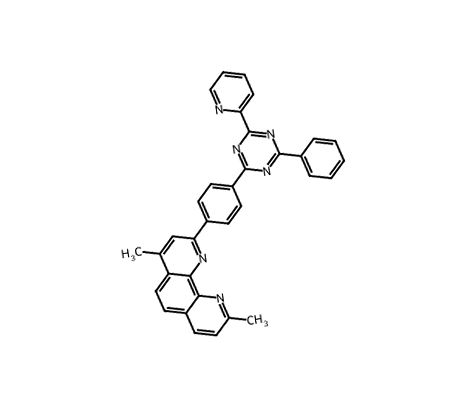 Cc1ccc2ccc3c(C)cc(-c4ccc(-c5nc(-c6ccccc6)nc(-c6ccccn6)n5)cc4)nc3c2n1